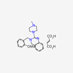 COc1ccccc1CN1Cc2ccccc2N=C1N1CCN(C)CC1.O=C(O)C=CC(=O)O